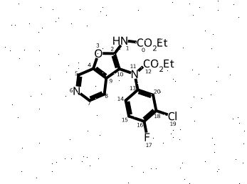 CCOC(=O)Nc1oc2cnccc2c1N(C(=O)OCC)c1ccc(F)c(Cl)c1